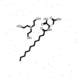 CCCCCCCCCCCC(=O)N[C@@H](CC(=O)O)C(=O)O.OCCN(CCO)CCO